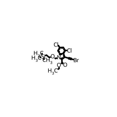 CCOC(=O)c1c(C#CBr)c2c(Cl)cc(Cl)cc2n1COCC[Si](C)(C)C